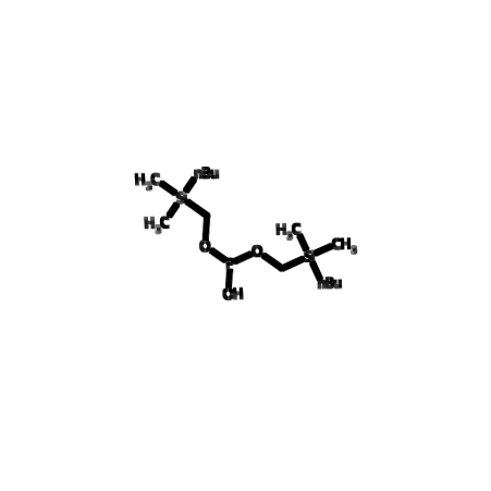 CCCC[Si](C)(C)COP(O)OC[Si](C)(C)CCCC